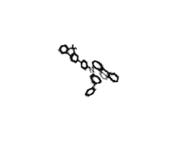 CC1(C)c2ccccc2-c2ccc(-c3ccc(N(c4ccc(-c5ccccc5)cc4)c4cccc5c4oc4ccccc45)cc3)cc21